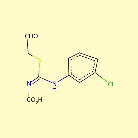 O=CCS/C(=N/C(=O)O)Nc1cccc(Cl)c1